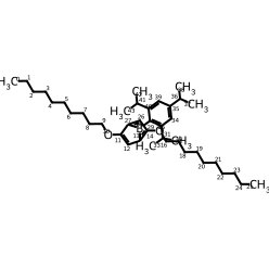 CCCCCCCCCCOC1=CC2=C(OCCCCCCCCCC)C=C1B2c1c(C(C)C)cc(C(C)C)cc1C(C)C